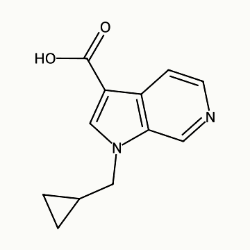 O=C(O)c1cn(CC2CC2)c2cnccc12